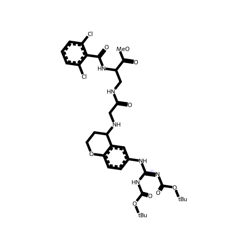 COC(=O)C(CNC(=O)CNC1CCOc2ccc(N/C(=N/C(=O)OC(C)(C)C)NC(=O)OC(C)(C)C)cc21)NC(=O)c1c(Cl)cccc1Cl